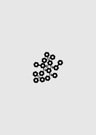 c1ccc(-c2cccc(N3c4ccc([Si](c5ccccc5)(c5ccccc5)c5ccccc5)cc4B4c5ccc(-c6ccccc6)cc5N(c5ccc([Si](c6ccccc6)(c6ccccc6)c6ccccc6)cc5)c5cc(N(c6ccccc6)c6ccccc6)cc3c54)c2)cc1